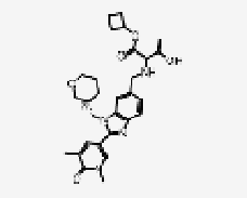 Cc1cc(-c2nc3ccc(CNC(C(=O)OC4CCC4)C(C)O)cc3n2C[C@H]2CCCOC2)cn(C)c1=O